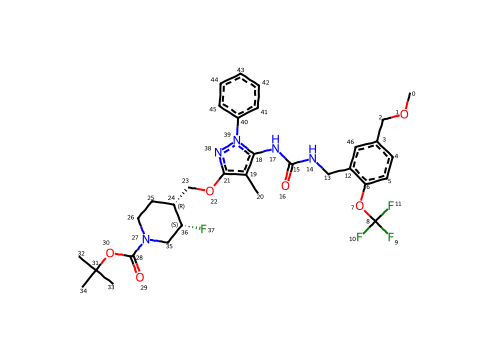 COCc1ccc(OC(F)(F)F)c(CNC(=O)Nc2c(C)c(OC[C@H]3CCN(C(=O)OC(C)(C)C)C[C@H]3F)nn2-c2ccccc2)c1